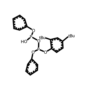 CC(C)(C)c1ccc(OP(Oc2ccccc2)OP(O)Oc2ccccc2)c(C(C)(C)C)c1